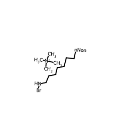 CCCCCCCCCCCCCCCCNBr.C[N+](C)(C)C